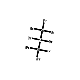 CC(C)[Si](C(C)C)(C(C)C)[Si](Br)(Br)[Si](Br)(Br)Br